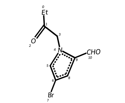 CCC(=O)Cn1cc(Br)cc1C=O